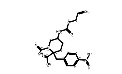 C=CCOC(=O)NC1CCC(Cc2ccc([N+](=O)[O-])cc2)(C(=O)O)N(C(=O)O)C1